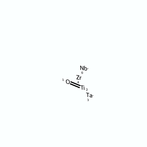 [Nb].[O]=[Ti].[Ta].[Zr]